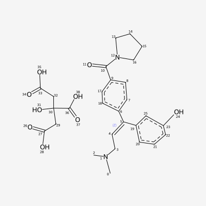 CN(C)C/C=C(/c1ccc(C(=O)N2CCCC2)cc1)c1cccc(O)c1.O=C(O)CC(O)(CC(=O)O)C(=O)O